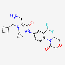 NC[C@@H](C(=O)Nc1ccc(N2CCOCC2=O)c(C(F)F)c1)N(CC1CCC1)C1CC1